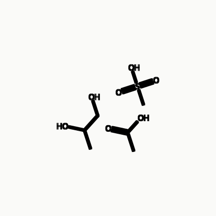 CC(=O)O.CC(O)CO.CS(=O)(=O)O